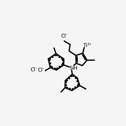 CCCC1=C([SiH](c2cc(C)cc(C)c2)c2cc(C)cc(C)c2)CC(C)=[C]1[Ti+3].[Cl-].[Cl-].[Cl-]